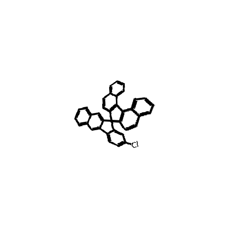 Clc1ccc2c(c1)C1(c3cc4ccccc4cc3-2)c2ccc3ccccc3c2-c2c1ccc1ccccc21